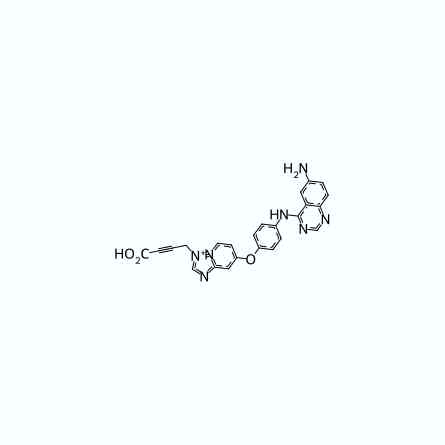 Nc1ccc2ncnc(Nc3ccc(Oc4ccn5c(c4)nc[n+]5CC#CC(=O)O)cc3)c2c1